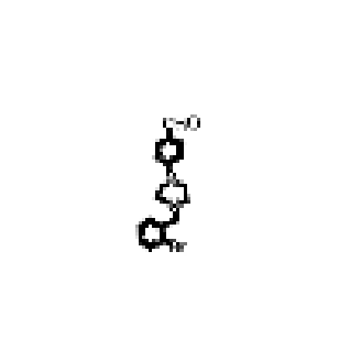 O=Cc1ccc(N2CCN(Cc3ccccc3Br)CC2)cc1